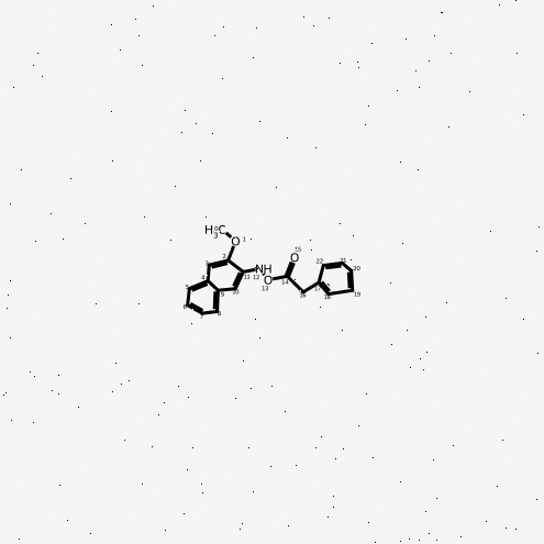 COc1cc2ccccc2cc1NOC(=O)Cc1ccccc1